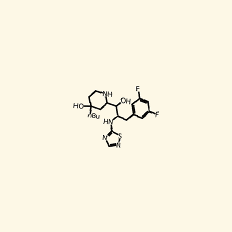 CCCCC1(O)CCNC(C(O)C(Cc2cc(F)cc(F)c2)Nc2ncns2)C1